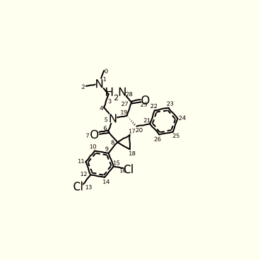 CN(C)CCN(C(=O)C1(c2ccc(Cl)cc2Cl)CC1)[C@@H](Cc1ccccc1)C(N)=O